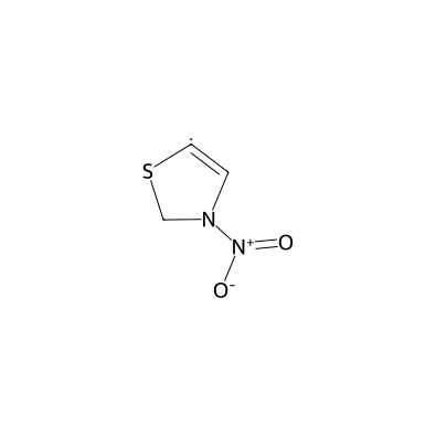 O=[N+]([O-])N1C=[C]SC1